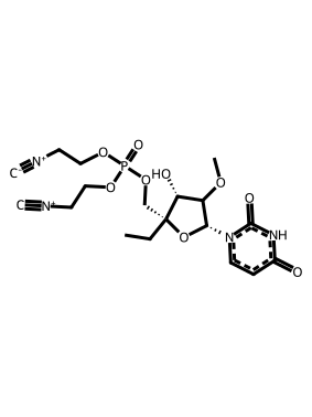 [C-]#[N+]CCOP(=O)(OCC[N+]#[C-])OC[C@@]1(CC)O[C@@H](n2ccc(=O)[nH]c2=O)C(OC)[C@H]1O